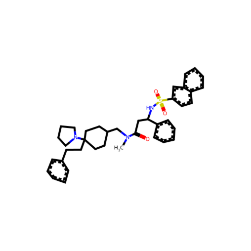 CN(CC1CCC(CCc2ccccc2)(N2CCCC2)CC1)C(=O)CC(NS(=O)(=O)c1ccc2ccccc2c1)c1ccccc1